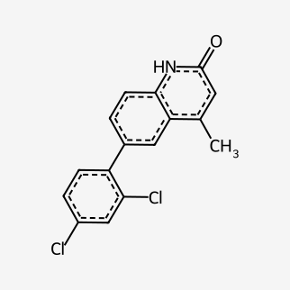 Cc1cc(=O)[nH]c2ccc(-c3ccc(Cl)cc3Cl)cc12